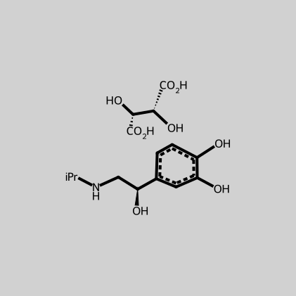 CC(C)NC[C@H](O)c1ccc(O)c(O)c1.O=C(O)[C@H](O)[C@@H](O)C(=O)O